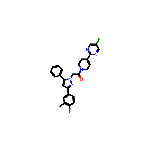 Cc1cc(-c2cc(-c3ccccc3)n(CC(=O)N3CC=C(c4ncc(F)cn4)CC3)n2)ccc1F